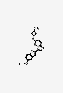 COc1ccc2oc(-c3cnc4ccc(O[C@H]5C[C@H](N)C5)nn34)cc2c1